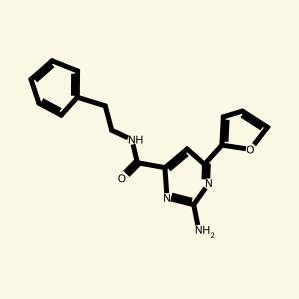 Nc1nc(C(=O)NCCc2ccccc2)cc(-c2ccco2)n1